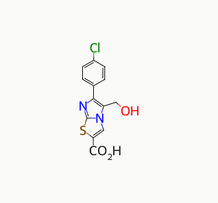 O=C(O)c1cn2c(CO)c(-c3ccc(Cl)cc3)nc2s1